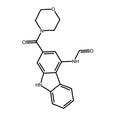 O=CNc1cc(C(=O)N2CCOCC2)cc2[nH]c3ccccc3c12